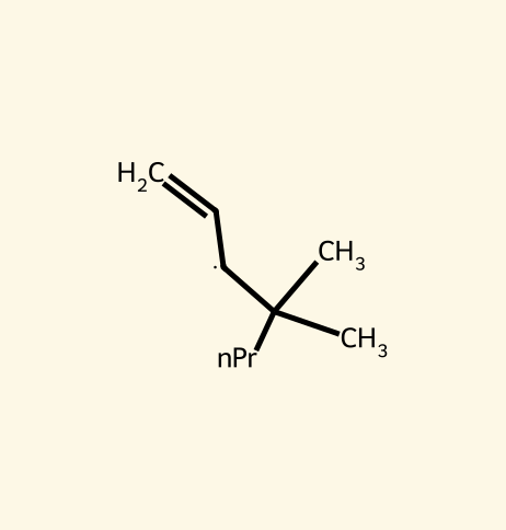 C=C[CH]C(C)(C)CCC